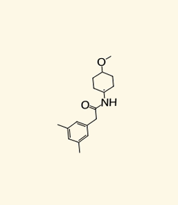 COC1CC[C](NC(=O)Cc2cc(C)cc(C)c2)CC1